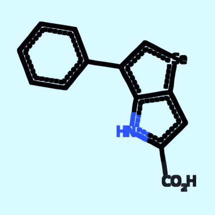 O=C(O)c1cc2[se]cc(-c3ccccc3)c2[nH]1